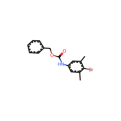 Cc1cc(NC(=O)OCc2ccccc2)cc(C)c1Br